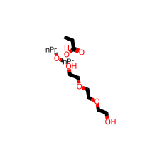 CCC(=O)O.CCCOCCC.OCCOCCOCCO